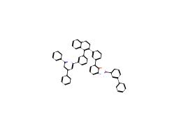 c1ccc(-c2cccc(-c3nc4cccc(-c5cccc(-c6ccc7ccccc7c6-c6cccc(-c7cc(-c8ccccc8)cc(-c8ccccc8)n7)c6)c5)c4o3)c2)cc1